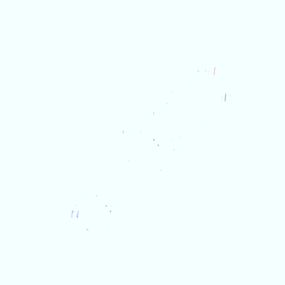 CC(C)c1cc2c(=S)n(-c3ccc(CN4CCN(C)CC4)cc3)c(=O)oc2cc1O